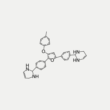 Cc1ccc(Oc2cc(-c3ccc(C4NC=CCN4)cc3)oc2-c2ccc(C3NC=CCN3)cc2)cc1